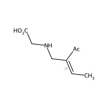 C/C=C(/CNCC(=O)O)C(C)=O